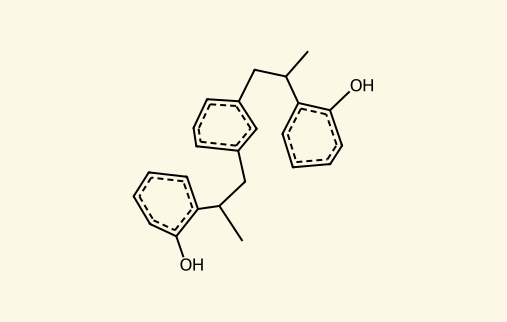 CC(Cc1cccc(CC(C)c2ccccc2O)c1)c1ccccc1O